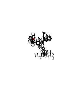 BC(B)(B)O[C@H]1C[C@@H](Cn2c(-c3cc4cccnc4n3CC3CC3)nc3cc(C(=O)N4C[C@H]5CC[C@@H]4[C@@H]5N)cc(OC)c32)C1